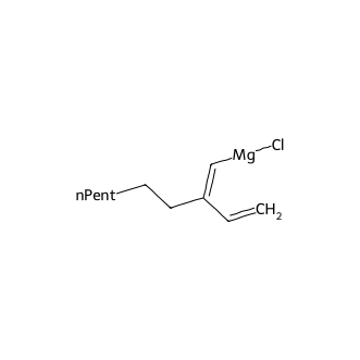 C=CC(=[CH][Mg][Cl])CCCCCCC